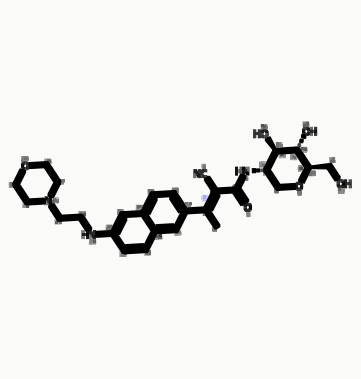 C/C(=C(/C#N)C(=O)N[C@H]1CO[C@H](CO)[C@@H](O)[C@@H]1O)c1ccc2cc(NCCN3CCOCC3)ccc2c1